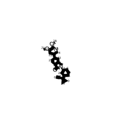 C#CC1(c2cccc(N3Cc4cc(-c5cnc(OC)c(OC)c5)ccc4C3=O)c2)CC1